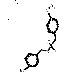 CCc1ccc(COC(F)(F)Cc2ccc(OC(F)(F)F)cc2)cc1